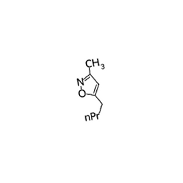 CCCCc1cc(C)no1